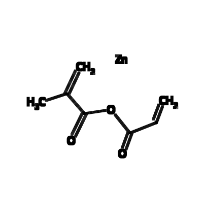 C=CC(=O)OC(=O)C(=C)C.[Zn]